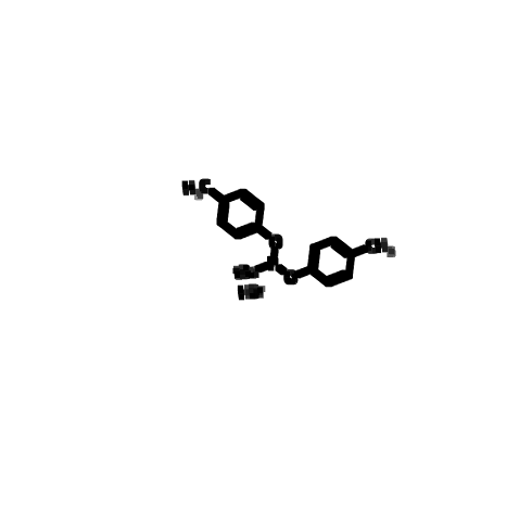 Br.Cc1ccc(OP(Oc2ccc(C)cc2)C(C)(C)C)cc1